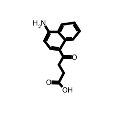 Nc1ccc(C(=O)CCC(=O)O)c2ccccc12